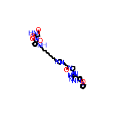 Nc1ncnc2c1c(-c1ccc(Oc3ccccc3)cc1)nn2C1CCCN(C(=O)CCCN2CCN(CCCCCCCCCCCNc3cccc4c3C(=O)N(C3CCC(=O)NC3=O)C4=O)CC2)C1